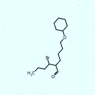 CCCC(Br)C([C]=O)CCCCOC1CC[CH]CC1